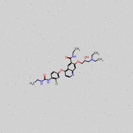 CCNC(=O)Nc1ccc(Oc2ccnc3cc(OC[C@H](O)CN(CC)CC)c(C(=O)NCC)cc23)cc1Cl